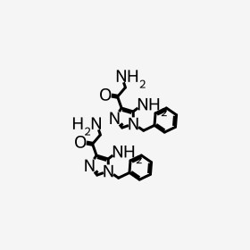 NCC(=O)c1ncn(Cc2ccccc2)c1N.NCC(=O)c1ncn(Cc2ccccc2)c1N